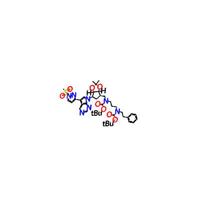 CC(C)(C)OC(=O)N(CCCN(C[C@H]1C[C@@H](n2cc(-c3ccn(S(C)(=O)=O)n3)c3cncnc32)[C@@H]2OC(C)(C)O[C@H]12)C(=O)OC(C)(C)C)CCc1ccccc1